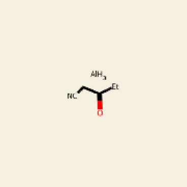 CCC(=O)CC#N.[AlH3]